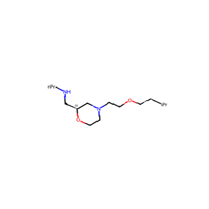 CCCNC[C@H]1CN(CCOCCC(C)C)CCO1